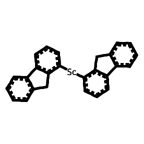 c1ccc2c(c1)Cc1[c]([Sc][c]3cccc4c3Cc3ccccc3-4)cccc1-2